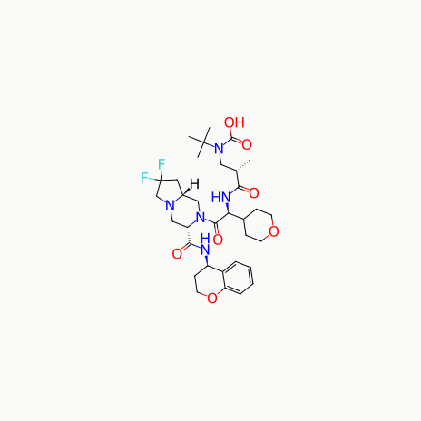 C[C@@H](CN(C(=O)O)C(C)(C)C)C(=O)N[C@H](C(=O)N1C[C@H]2CC(F)(F)CN2C[C@H]1C(=O)N[C@@H]1CCOc2ccccc21)C1CCOCC1